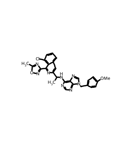 COc1ccc(Cn2cnc3c(NC(C)c4cc5cccc(Cl)c5c(-c5noc(C)n5)n4)ncnc32)cc1